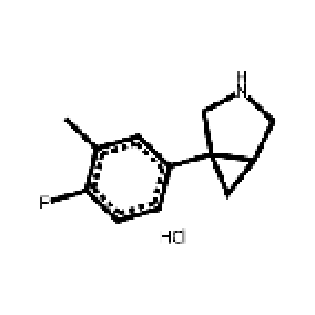 Cc1cc(C23CNCC2C3)ccc1F.Cl